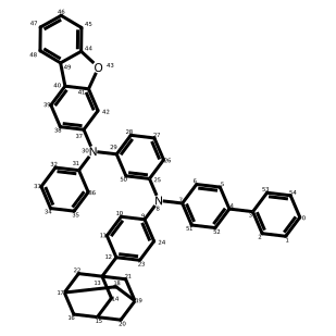 c1ccc(-c2ccc(N(c3ccc(C45CC6CC(CC(C6)C4)C5)cc3)c3cccc(N(c4ccccc4)c4ccc5c(c4)oc4ccccc45)c3)cc2)cc1